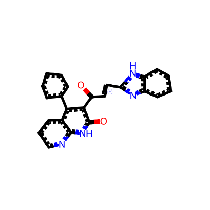 O=C(/C=C/c1nc2ccccc2[nH]1)c1c(-c2ccccc2)c2cccnc2[nH]c1=O